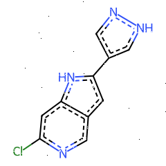 Clc1cc2[nH]c(-c3cn[nH]c3)cc2cn1